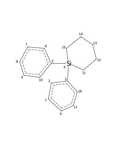 c1ccc([Si]2(c3ccccc3)CCCCC2)cc1